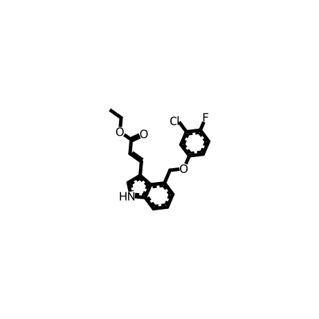 CCOC(=O)/C=C/c1c[nH]c2cccc(COc3ccc(F)c(Cl)c3)c12